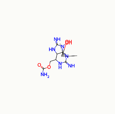 CC1C[C@](C)(O)C23C(NC(=N)N2O)C(COC(N)=O)NC(=N)N13